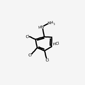 Cl.NNc1ccc(Cl)c(Cl)c1Cl